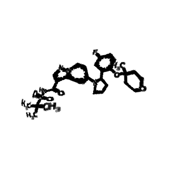 CC1(Oc2ccc(F)cc2C2CCCN2c2ccn3ncc(C(=O)NS(=O)(=O)C(C)(C)C)c3c2)CCOCC1